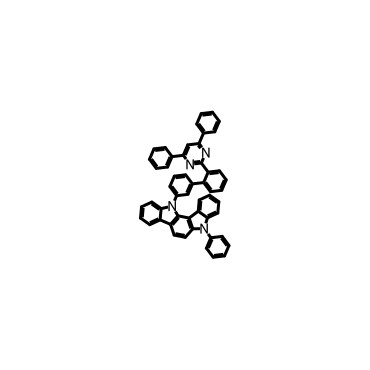 c1ccc(-c2cc(-c3ccccc3)nc(-c3ccccc3-c3cccc(-n4c5ccccc5c5ccc6c(c7ccccc7n6-c6ccccc6)c54)c3)n2)cc1